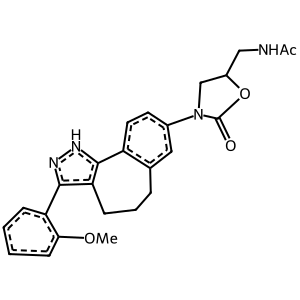 COc1ccccc1-c1n[nH]c2c1CCCc1cc(N3CC(CNC(C)=O)OC3=O)ccc1-2